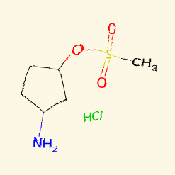 CS(=O)(=O)OC1CCC(N)C1.Cl